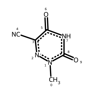 Cn1nc(C#N)c(=O)[nH]c1=O